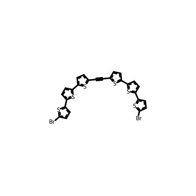 Brc1ccc(-c2ccc(-c3ccc(C#Cc4ccc(-c5ccc(-c6ccc(Br)s6)s5)s4)s3)s2)s1